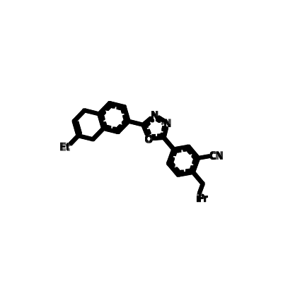 CCC1=CCc2ccc(-c3nnc(-c4ccc(CC(C)C)c(C#N)c4)o3)cc2C1